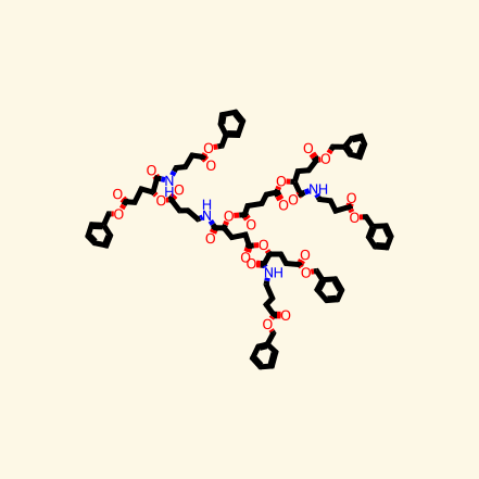 O=C(CCCNC(=O)C(CCC(=O)OCc1ccccc1)OC(=O)CCCNC(=O)C(CCC(=O)OC(CCC(=O)OCc1ccccc1)C(=O)NCCCC(=O)OCc1ccccc1)OC(=O)CCCC(=O)OC(CCC(=O)OCc1ccccc1)C(=O)NCCCC(=O)OCc1ccccc1)OCc1ccccc1